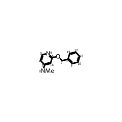 CNc1ccnc(OCc2ccccc2)c1